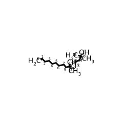 C=CCCCCCCCC(C)(C)OCCC(C)(C)O